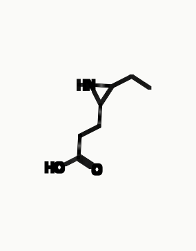 CCC1NC1CCC(=O)O